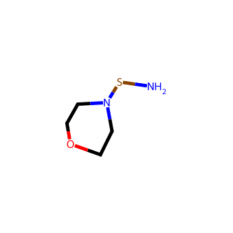 NSN1CCOCC1